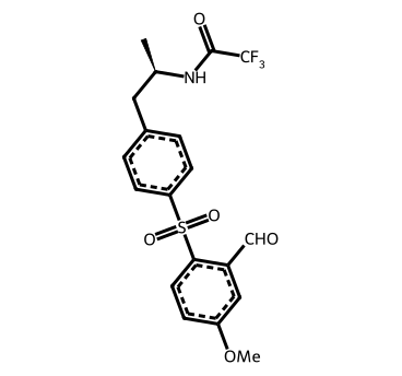 COc1ccc(S(=O)(=O)c2ccc(C[C@@H](C)NC(=O)C(F)(F)F)cc2)c(C=O)c1